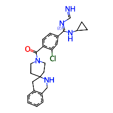 N=C/N=C(\NC1CC1)c1ccc(C(=O)N2CCC3(CC2)Cc2ccccc2CN3)c(Cl)c1